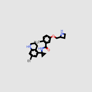 CCc1cc2c(c(C3(NC(=O)c4cc(OCC5CCN5)ccc4C)CC3)c1)CCCN2